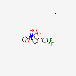 O=C(O)c1nn(C2CCCCO2)c2cccc(Cc3ccc(C(F)(F)F)cc3)c12